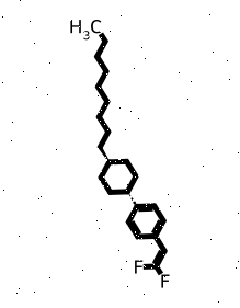 CCCCCCCCC[C@H]1CC[C@H](c2ccc(C=C(F)F)cc2)CC1